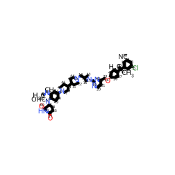 CN(C)c1cc(N2CCC(C3CCN(CC4CN(c5nccc(COc6ccc(C(C)(C)c7cc(Cl)cc(C#N)c7)cc6)n5)C4)CC3)CC2)ccc1N(C=O)C1CCC(=O)NC1=O